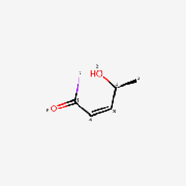 C[C@H](O)/C=C\C(=O)I